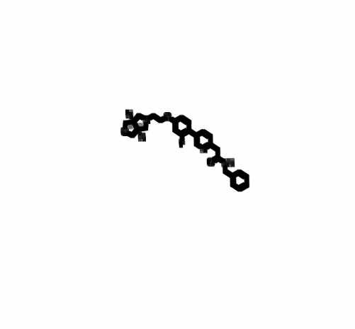 O=C(Cc1ccc(-c2ccc(OCCN3C[C@H]4COC[C@H]4C3)cc2F)cn1)NCc1ccccc1